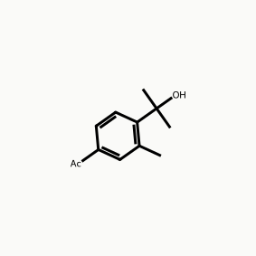 CC(=O)c1ccc(C(C)(C)O)c(C)c1